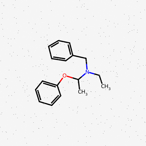 CCN(Cc1ccccc1)C(C)Oc1ccccc1